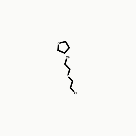 C1CCOC1.OCCSCCO